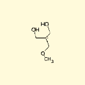 COC[C](CO)CO